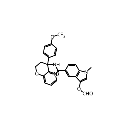 Cn1cc(OC=O)c2cc(C(=O)NC3(c4ccc(OC(F)(F)F)cc4)CCOc4cccnc43)ccc21